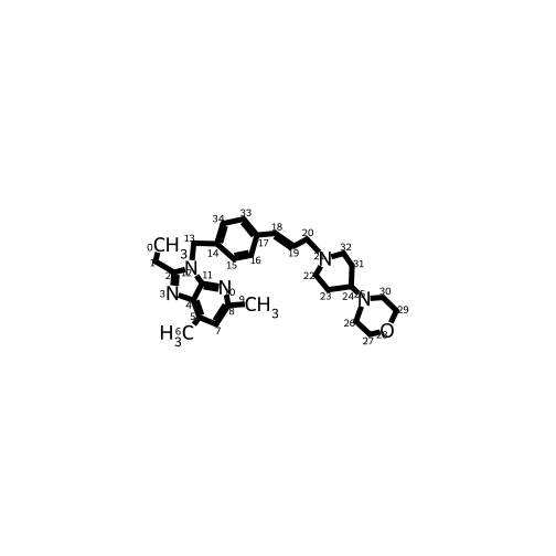 CCc1nc2c(C)cc(C)nc2n1Cc1ccc(C=CCN2CCC(N3CCOCC3)CC2)cc1